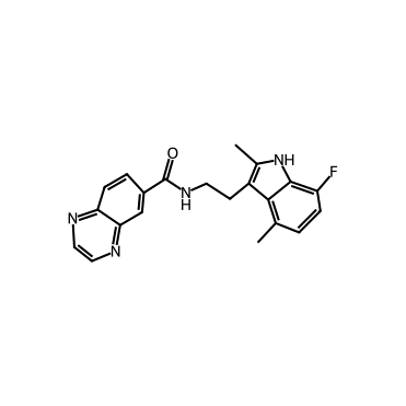 Cc1[nH]c2c(F)ccc(C)c2c1CCNC(=O)c1ccc2nccnc2c1